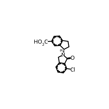 O=C(O)c1ccc2c(c1)[C@H](N1Cc3cccc(Cl)c3C1=O)CC2